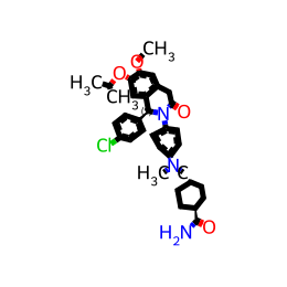 COc1cc2c(cc1OC(C)C)[C@H](c1ccc(Cl)cc1)N(c1ccc(N(C)C[C@H]3CC[C@H](C(N)=O)CC3)cc1)C(=O)C2